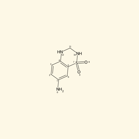 Nc1ccc2c(c1)S(=O)(=O)NCN2